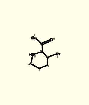 CC(C)C1CCCNC1C(=O)C(C)(C)C